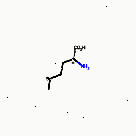 C[Se]CC[C@@H](N)C(=O)O